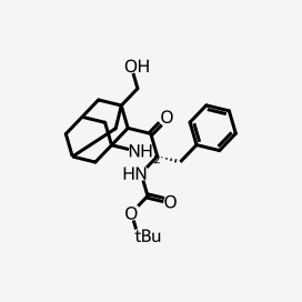 CC(C)(C)OC(=O)N[C@@H](Cc1ccccc1)C(=O)C1C2(N)CC3CC(C2)CC1(CO)C3